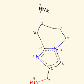 CNC1CCn2cc(CO)nc2C1